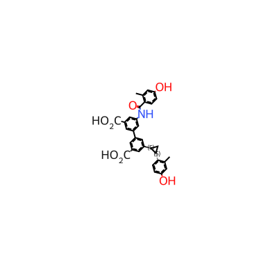 Cc1cc(O)ccc1C(=O)Nc1cc(C(=O)O)cc(-c2cc(C(=O)O)cc([C@H]3C[C@@H]3c3ccc(O)cc3C)c2)c1